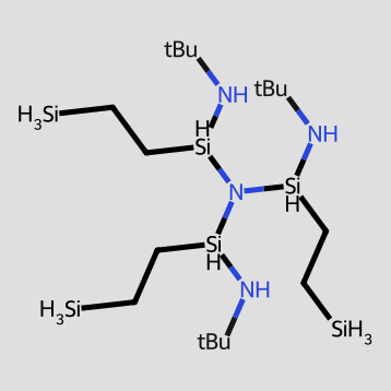 CC(C)(C)N[SiH](CC[SiH3])N([SiH](CC[SiH3])NC(C)(C)C)[SiH](CC[SiH3])NC(C)(C)C